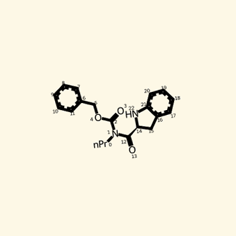 CCCN(C(=O)OCc1ccccc1)C(=O)[C@@H]1Cc2ccccc2N1